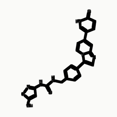 CC(C)(C)c1cc(NC(=O)NCc2ccc(-c3cnc4cc(-c5ccc(=O)[nH]c5)ccn34)cc2)no1